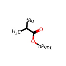 CCCCCOC(=O)C(C)C(C)(C)C